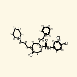 O=C1CCN(C(=S)Nc2ccc(Cl)c(Cl)c2)[C@H](CCc2ccccc2)CN1CCCN1CCCCC1